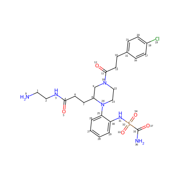 NCCNC(=O)CCC1CN(C(=O)[CH]Cc2ccc(Cl)cc2)CCN1c1ccccc1NS(=O)(=O)C(N)=O